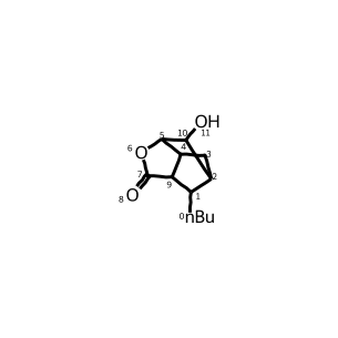 CCCCC1C2CC3C(OC(=O)C13)C2O